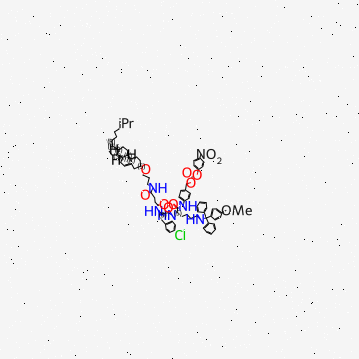 COc1ccc(C(NCCCC[C@H](NC(=O)[C@H](Cc2ccc(Cl)cc2)NC(=O)CCC(=O)NCCCO[C@H]2CC[C@@]3(C)C(=CC[C@H]4[C@@H]5CC[C@H]([C@H](C)CCCC(C)C)[C@@]5(C)CC[C@@H]43)C2)C(=O)Nc2ccc(COC(=O)Oc3ccc([N+](=O)[O-])cc3)cc2)(c2ccccc2)c2ccccc2)cc1